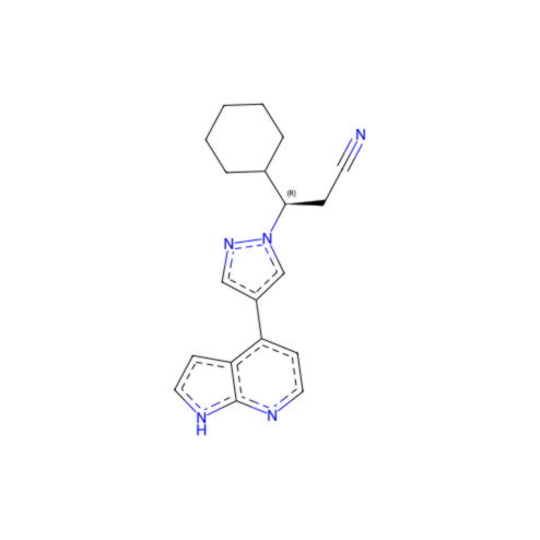 N#CC[C@H](C1CCCCC1)n1cc(-c2ccnc3[nH]ccc23)cn1